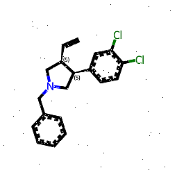 C=C[C@@H]1CN(Cc2ccccc2)C[C@@H]1c1ccc(Cl)c(Cl)c1